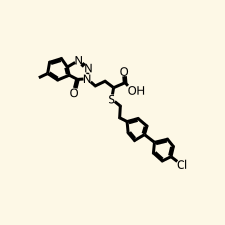 Cc1ccc2nnn(CCC(SCCc3ccc(-c4ccc(Cl)cc4)cc3)C(=O)O)c(=O)c2c1